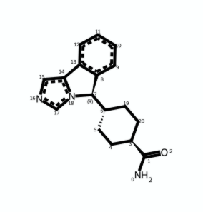 NC(=O)[C@H]1CC[C@H]([C@@H]2c3ccccc3-c3cncn32)CC1